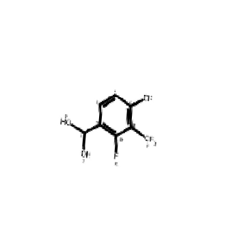 OC(O)c1ccc(Cl)c(C(F)(F)F)c1F